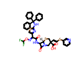 O=C(NC1C(=O)N2CC(C=CSc3cccnc3)(C(=O)O)CS[C@H]12)C(=NOC(F)F)c1csc(NC(c2ccccc2)(c2ccccc2)c2ccccc2)n1